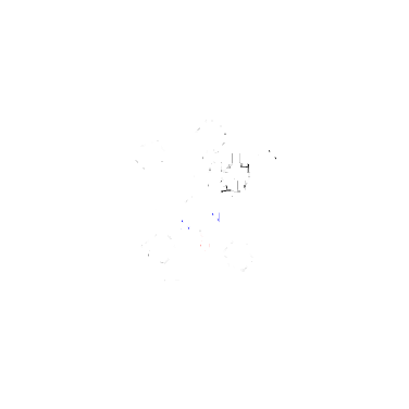 CC1=C(C(Cc2ccccc2)(Cc2ccccc2)C(C(=O)O)(C(=O)O)C(=O)O)[C@@H](c2ccc(C#N)cc2)N(Cc2ccccc2)C(=O)N1c1cccc(C(F)(F)F)c1